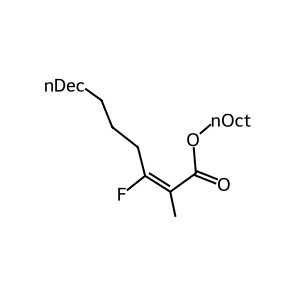 CCCCCCCCCCCCCC(F)=C(C)C(=O)OCCCCCCCC